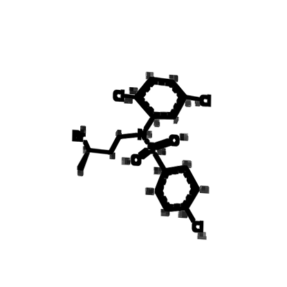 C[C@@H](Br)CCN(c1cc(Cl)ccc1Cl)S(=O)(=O)c1ccc(Cl)cc1